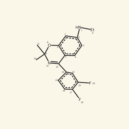 CCNc1ccc2c(c1)OC(C)(C)N=C2c1ccc(F)c(F)c1